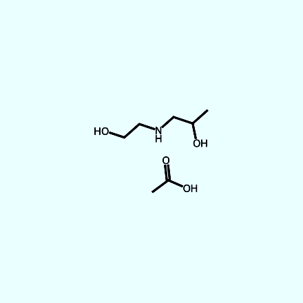 CC(=O)O.CC(O)CNCCO